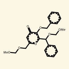 COCOCc1cc(=O)c(OCc2ccccc2)c(C(OCOC)c2ccccc2)o1